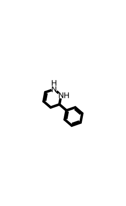 C1=CNNC(c2ccccc2)C1